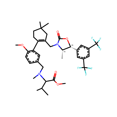 COC(=O)C(C(C)C)N(C)Cc1ccc(OC)c(C2=C(CN3C(=O)O[C@H](c4cc(C(F)(F)F)cc(C(F)(F)F)c4)[C@@H]3C)CC(C)(C)CC2)c1